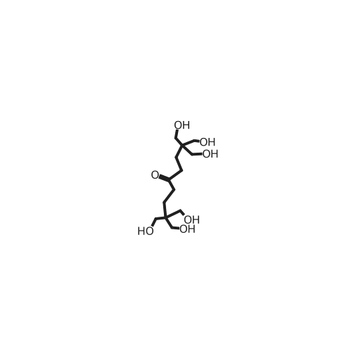 O=C(CCC(CO)(CO)CO)CCC(CO)(CO)CO